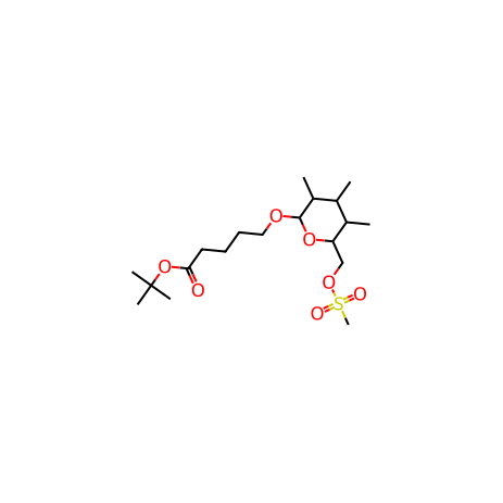 CC1C(COS(C)(=O)=O)OC(OCCCCC(=O)OC(C)(C)C)C(C)C1C